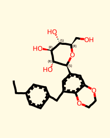 CCc1ccc(Cc2cc([C@@H]3O[C@H](CO)[C@@H](O)[C@H](O)[C@H]3O)cc3c2OCCO3)cc1